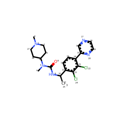 CN1CCC(N(C)C(=O)NC(c2ccc(-c3cnccn3)c(Cl)c2Cl)C(F)(F)F)CC1